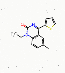 Cc1ccc2c(c1)c(-c1cccs1)nc(=O)n2CC(F)(F)F